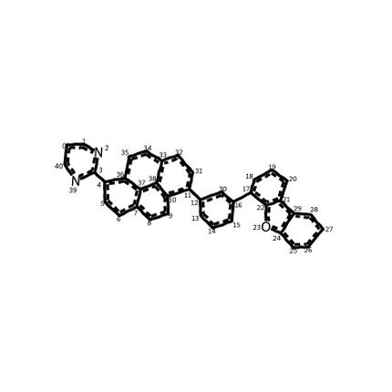 c1cnc(-c2ccc3ccc4c(-c5cccc(-c6cccc7c6oc6ccccc67)c5)ccc5ccc2c3c54)nc1